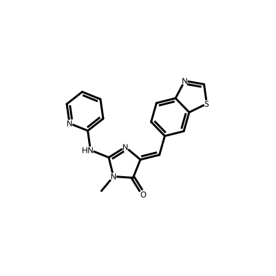 CN1C(=O)/C(=C/c2ccc3ncsc3c2)N=C1Nc1ccccn1